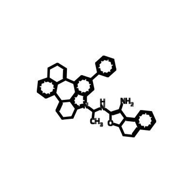 CC(NC1=C(N)C2=c3ccccc3=CCC2O1)n1c2c3c4c(cc(-c5ccccc5)cc41)C1=CCCc4cccc(c41)C3=CCC2